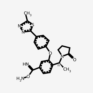 Cc1nnc(-c2ccc(Oc3cc(C(=N)ON)ccc3[C@H](C)N3CCCC3=O)cc2)s1